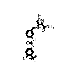 NC(=O)c1n[nH]cc1NCc1cccc(NC(=O)Nc2ccc(Cl)c(C(F)(F)F)c2)c1